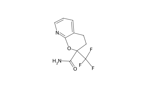 NC(=O)C1(C(F)(F)F)CCc2cccnc2O1